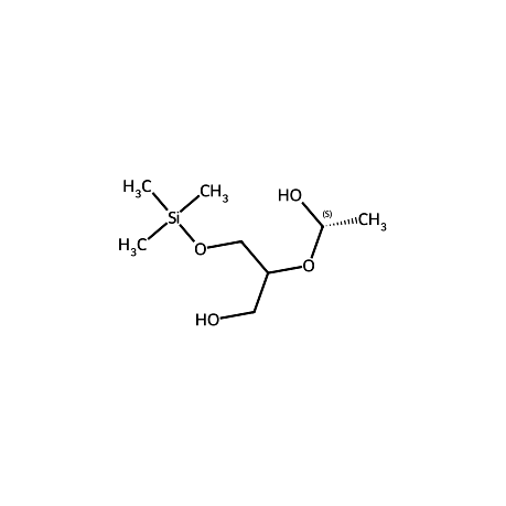 C[C@@H](O)OC(CO)CO[Si](C)(C)C